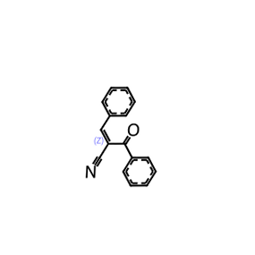 N#C/C(=C/c1ccccc1)C(=O)c1ccccc1